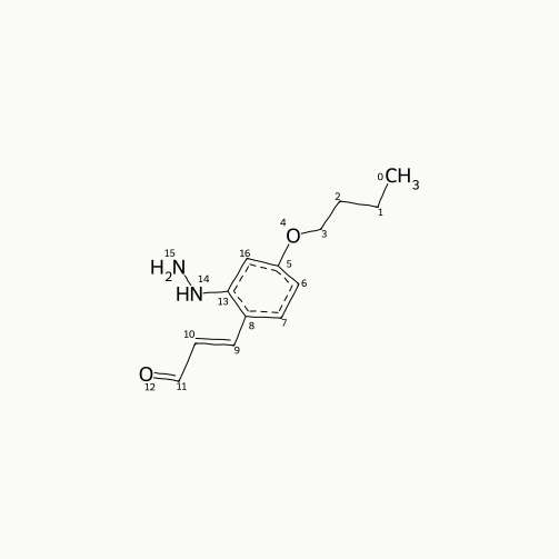 CCCCOc1ccc(/C=C/C=O)c(NN)c1